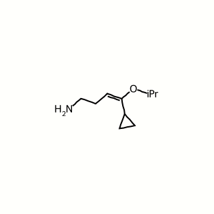 CC(C)O/C(=C/CCN)C1CC1